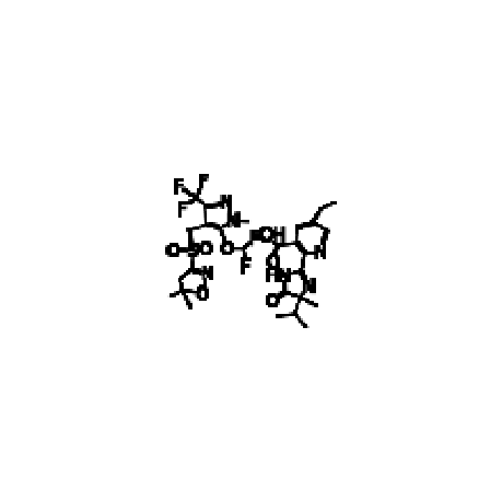 CCc1cnc(C2=NC(C)(C(C)C)C(=O)N2)c(C(=O)O)c1.Cn1nc(C(F)(F)F)c(CS(=O)(=O)C2=NOC(C)(C)C2)c1OC(F)F